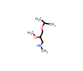 CNCC(COC(C)C)OC